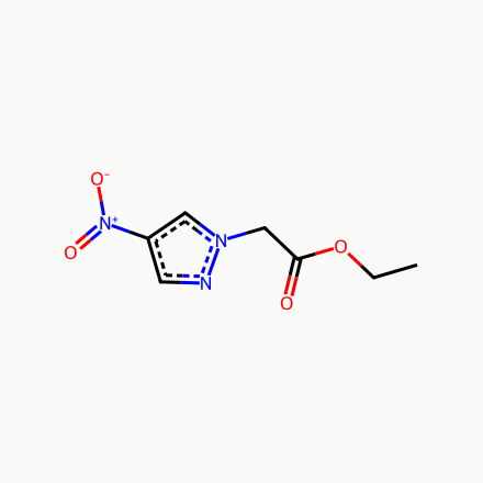 CCOC(=O)Cn1cc([N+](=O)[O-])cn1